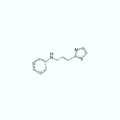 C(=Cc1nccs1)CNc1ccccc1